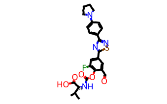 CC(C)[C@H](NC(=O)Oc1c(F)cc(-c2nc(-c3ccc(N4CCCC4)cc3)ns2)cc1C=O)C(=O)O